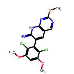 COc1cc(OC)c(Cl)c(-c2cc3cnc(SC)nc3[nH]c2=N)c1Cl